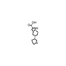 O=C(O)c1cc2cc(-c3cccnc3)ccc2[nH]1